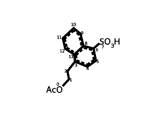 CC(=O)OCCc1ccc(S(=O)(=O)O)c2ccccc12